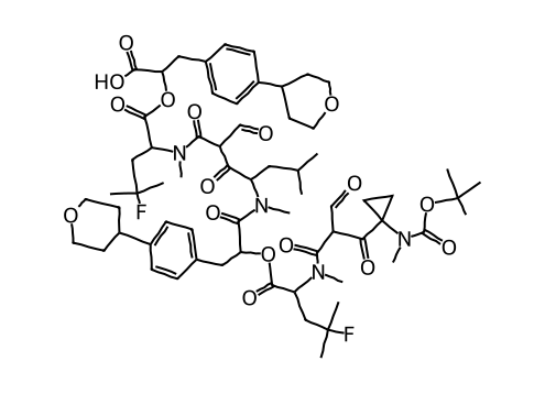 CC(C)CC(C(=O)C(C=O)C(=O)N(C)C(CC(C)(C)F)C(=O)OC(Cc1ccc(C2CCOCC2)cc1)C(=O)O)N(C)C(=O)C(Cc1ccc(C2CCOCC2)cc1)OC(=O)C(CC(C)(C)F)N(C)C(=O)C(C=O)C(=O)C1(N(C)C(=O)OC(C)(C)C)CC1